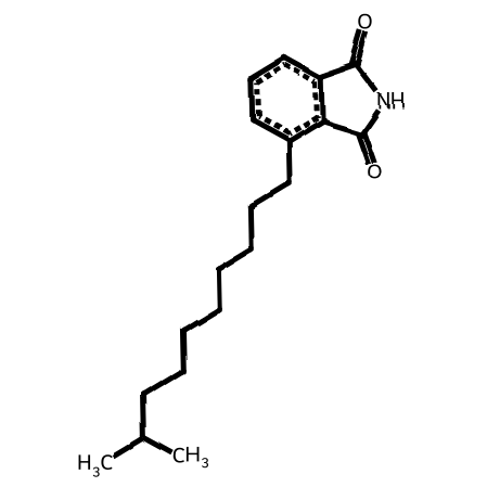 CC(C)CCCCCCCCc1cccc2c1C(=O)NC2=O